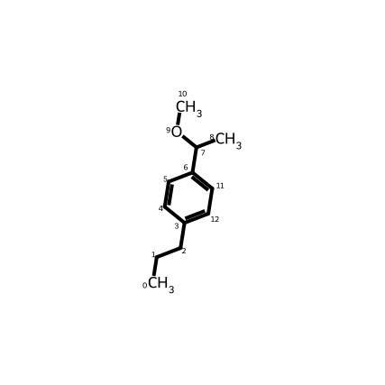 CCCc1ccc(C(C)OC)cc1